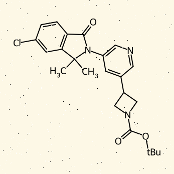 CC(C)(C)OC(=O)N1CC(c2cncc(N3C(=O)c4ccc(Cl)cc4C3(C)C)c2)C1